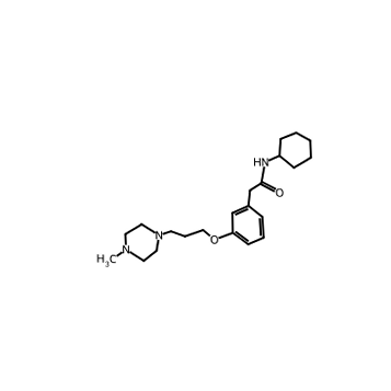 CN1CCN(CCCOc2cccc(CC(=O)NC3CCCCC3)c2)CC1